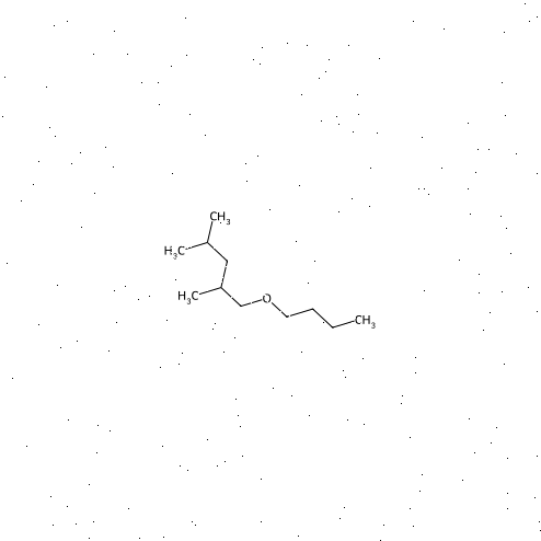 CCCCOCC(C)CC(C)C